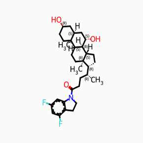 C[C@H](CCC(=O)N1CCc2c(F)cc(F)cc21)[C@H]1CC[C@H]2[C@@H]3[C@@H](O)C[C@@H]4C[C@H](O)CC[C@]4(C)[C@H]3CC[C@]12C